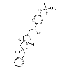 CS(=O)(=O)Nc1ccc(C(O)CN2C[C@@H]3CC(O)(Cc4ccccc4)C[C@@H]3C2)nc1